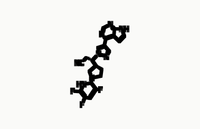 N#CC[C@@H]([C@H]1CCN(C2NC(F)=C(F)C=C2F)C1)n1cc(-c2ncnc3[nH]ccc23)cn1